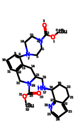 CC(C)(C)OC(=O)N1CCN(c2cccc3c2CC(CN[C@H]2CCCc4cccnc42)N(C(=O)OC(C)(C)C)C3)CC1